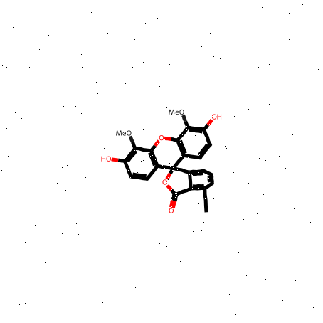 COc1c(O)ccc2c1Oc1c(ccc(O)c1OC)C21OC(=O)c2c(C)cccc21